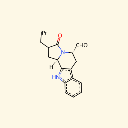 CC(C)CC1C[C@@H]2c3[nH]c4ccccc4c3C[C@@H](C=O)N2C1=O